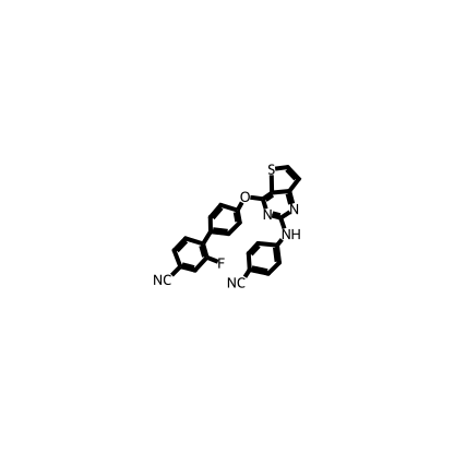 N#Cc1ccc(Nc2nc(Oc3ccc(-c4ccc(C#N)cc4F)cc3)c3sccc3n2)cc1